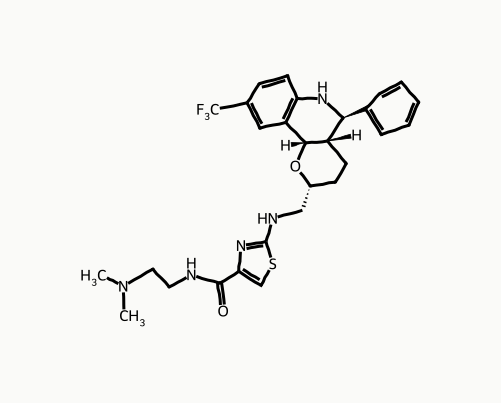 CN(C)CCNC(=O)c1csc(NC[C@H]2CC[C@@H]3[C@H](O2)c2cc(C(F)(F)F)ccc2N[C@H]3c2ccccc2)n1